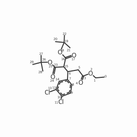 CCOC(=O)CC(c1ccc(Cl)c(Cl)c1)C(C(=O)OC(C)(C)C)C(=O)OC(C)(C)C